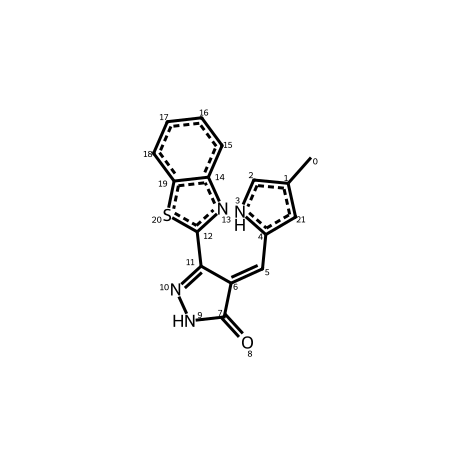 Cc1c[nH]c(/C=C2/C(=O)NN=C2c2nc3ccccc3s2)c1